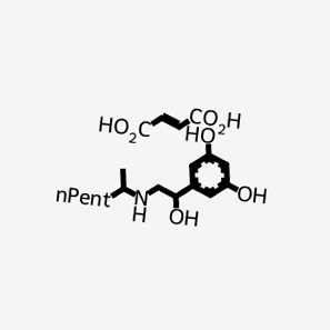 CCCCCC(C)NCC(O)c1cc(O)cc(O)c1.O=C(O)C=CC(=O)O